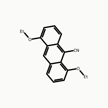 CCOc1cccc2c(C#N)c3c(OCC)cccc3cc12